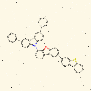 c1ccc(-c2ccc3c(c2)c2cc(-c4ccccc4)ccc2n3-c2cccc3c2oc2ccc(-c4ccc5c(c4)sc4ccccc45)cc23)cc1